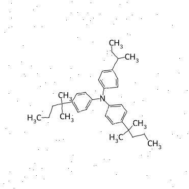 CCCC(C)(C)c1ccc(N(c2ccc(C(C)CC)cc2)c2ccc(C(C)(C)CCC)cc2)cc1